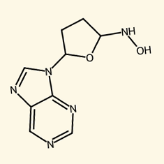 ONC1CCC(n2cnc3cncnc32)O1